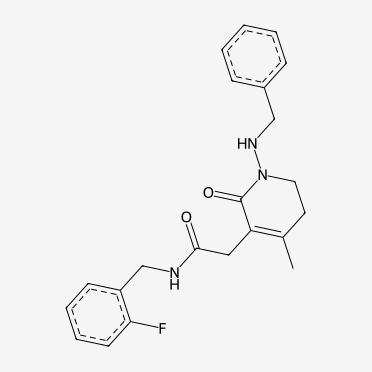 CC1=C(CC(=O)NCc2ccccc2F)C(=O)N(NCc2ccccc2)CC1